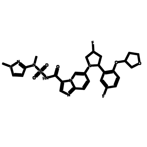 CN(c1ccn(C)n1)S(=O)(=O)NC(=O)c1cnc2ccc(N3CC(F)CC3c3cc(F)ccc3OC3CCOC3)cn12